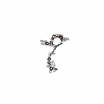 C=CC(=O)Nc1cc(Cl)cc(NC(=O)c2cnn(-c3ccc(OCC(=O)NCCSCCC[C@@H]4/C=C(\C)C[C@H](C)C[C@H](O)[C@H]5O[C@@](O)(C(=O)C(=O)N6CCCC[C@H]6C(=O)O[C@H](C(C)C(C)[C@@H]6CC[C@@H](O)[C@H](OC)C6)[C@H](C)[C@@H](O)CC4=O)[C@H](C)C[C@@H]5OC)cc3)c2C(F)(F)F)c1